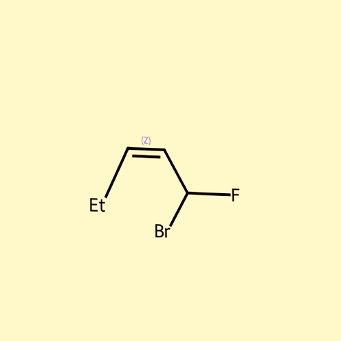 CC/C=C\C(F)Br